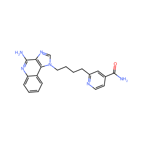 NC(=O)c1ccnc(CCCCn2cnc3c(N)nc4ccccc4c32)c1